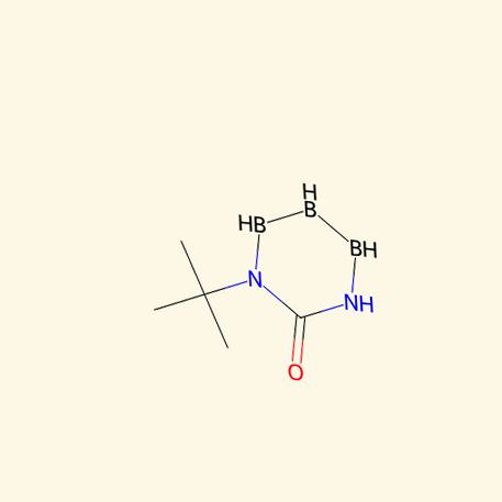 CC(C)(C)N1BBBNC1=O